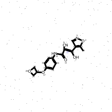 Cc1oncc1/C(O)=C(\C#N)C(=O)Nc1ccc(OC2COC2)cc1